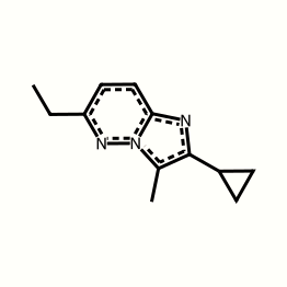 CCc1ccc2nc(C3CC3)c(C)n2n1